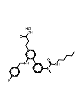 CCCCCNC(=O)N(C)c1cccc(-c2ccc(CCC(=O)O)cc2NCc2ccc(F)cc2)c1.Cl